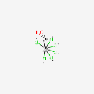 O.[Cl][Ir]([Cl])([Cl])([Cl])([Cl])([Cl])[Co]